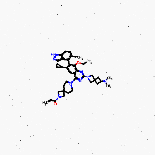 C=CC(=O)N1CC2(CCN(c3nc(N4CC5(CC(N(C)C)C5)C4)nc4c(OCC(F)(F)F)c(-c5c(C)ccc6[nH]ncc56)c(C5CC5)cc34)CC2)C1